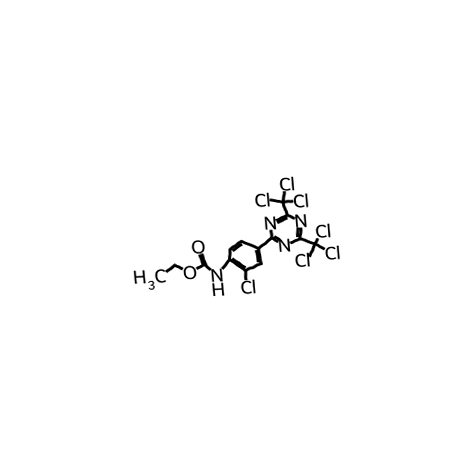 CCOC(=O)Nc1ccc(-c2nc(C(Cl)(Cl)Cl)nc(C(Cl)(Cl)Cl)n2)cc1Cl